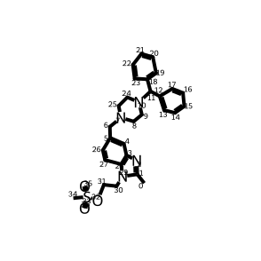 Cc1nc2cc(CN3CCN(C(c4ccccc4)c4ccccc4)CC3)ccc2n1CCOS(C)(=O)=O